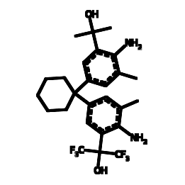 Cc1cc(C2(c3cc(C)c(N)c(C(O)(C(F)(F)F)C(F)(F)F)c3)CCCCC2)cc(C(C)(C)O)c1N